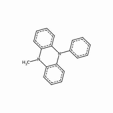 CN1c2ccccc2N(c2ccccc2)c2ccccc21